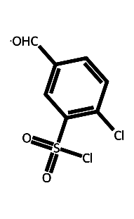 O=[C]c1ccc(Cl)c(S(=O)(=O)Cl)c1